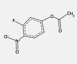 CC(=O)Oc1ccc([N+](=O)[O-])c(F)c1